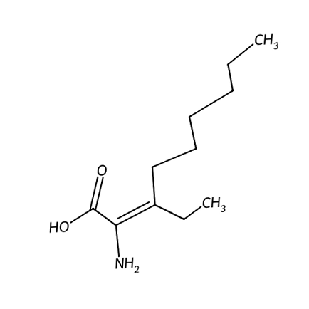 CCCCCC/C(CC)=C(/N)C(=O)O